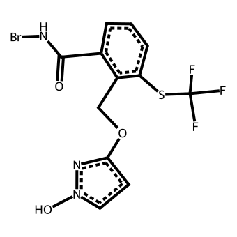 O=C(NBr)c1cccc(SC(F)(F)F)c1COc1ccn(O)n1